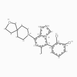 Cc1nc(N2CCC3(CCOC3)CC2)c2nncn2c1-c1cccc(Cl)c1Cl